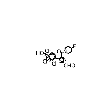 O=Cc1nc(C(=O)N2CCC(F)CC2)c(-c2ccc(C(O)(C(F)(F)F)C(F)(F)F)c(Cl)c2Cl)s1